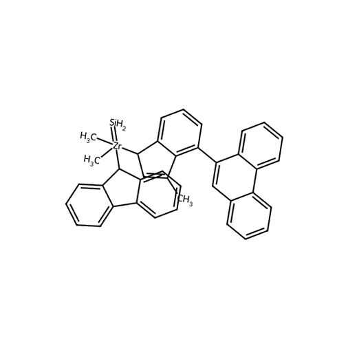 CC1=C[CH]([Zr]([CH3])([CH3])(=[SiH2])[CH]2c3ccccc3-c3ccccc32)c2cccc(-c3cc4ccccc4c4ccccc34)c21